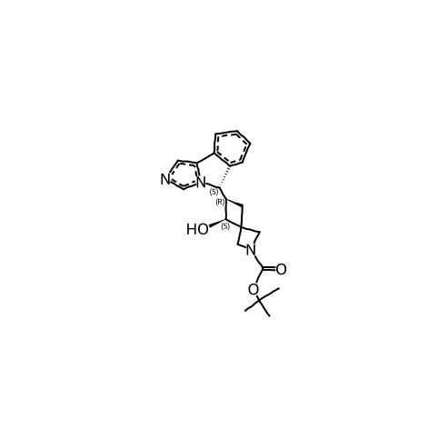 CC(C)(C)OC(=O)N1CC2(C[C@H]([C@H]3c4ccccc4-c4cncn43)[C@@H]2O)C1